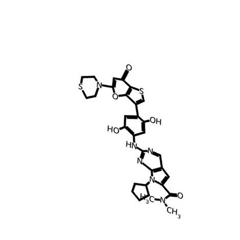 CN(C)C(=O)c1cc2cnc(Nc3cc(O)c(-c4csc5c(=O)cc(N6CCSCC6)oc45)cc3O)nc2n1C1CCCC1